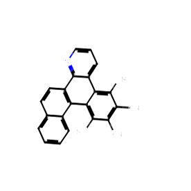 N#Cc1c(C#N)c(C#N)c2c(c1C#N)c1cccnc1c1ccc3ccccc3c12